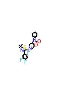 CC(C)(C)c1nc(-c2cc(F)c(F)cc2F)c(CN2CCC3(CC2)CN(c2ccccc2)C(=O)O3)s1